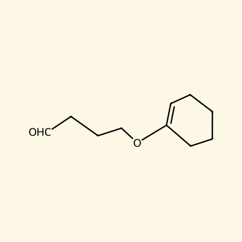 O=CCCCOC1=CCCCC1